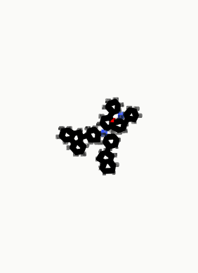 c1cc(-c2ccc3ccccc3c2)cc(N(c2ccc(-c3ccccc3-n3c4ccccc4c4ccccc43)cc2)c2ccc(-c3cc4ccccc4c4ccccc34)cc2)c1